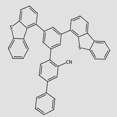 N#Cc1cc(-c2ccccc2)ccc1-c1cc(-c2cccc3c2sc2ccccc23)cc(-c2cccc3sc4ccccc4c23)c1